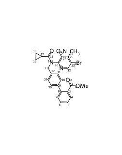 COC(=O)c1ccccc1-c1ccc(CN(C(=O)C2CC2)c2ncc(Br)c(C)c2[N+](=O)[O-])cc1